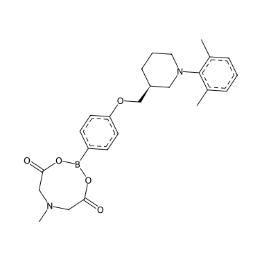 Cc1cccc(C)c1N1CCC[C@H](COc2ccc(B3OC(=O)CN(C)CC(=O)O3)cc2)C1